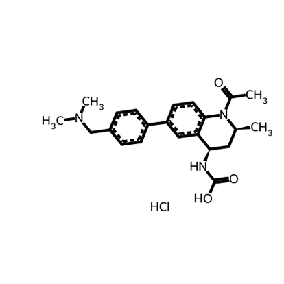 CC(=O)N1c2ccc(-c3ccc(CN(C)C)cc3)cc2[C@H](NC(=O)O)C[C@@H]1C.Cl